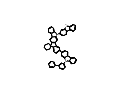 c1ccc(-c2cccc(-n3c4ccccc4c4ccc(-c5ccc6c(c5)-c5cc7c(cc5C65CCCCC5)c5ccccc5n7-c5ccc6c(c5)oc5ccccc56)cc43)c2)cc1